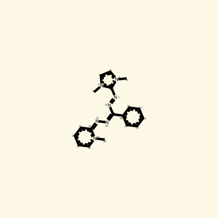 Cn1cc[n+](C)c1N=NC(=NN=c1ccccn1C)c1ccccc1